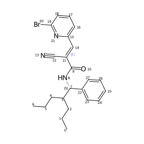 CCCC(CCC)[C@H](NC(=O)/C(C#N)=C/c1cccc(Br)n1)c1ccccc1